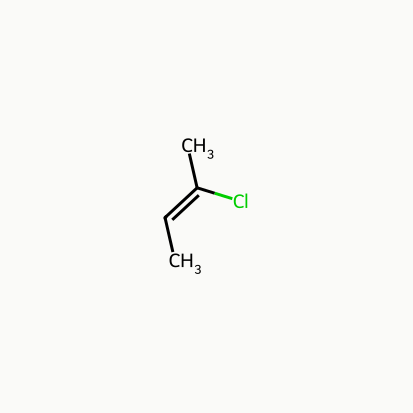 C/C=C(/C)Cl